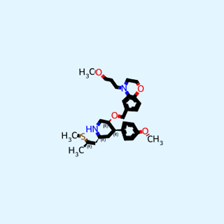 COCCCN1CCOc2ccc(CO[C@H]3CN[C@@H](C[C@@H](C)SC)C[C@@H]3c3ccc(OC)cc3)cc21